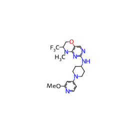 COc1cc(N2CCC(Nc3ncc4c(n3)N(C)C(C(F)(F)F)CO4)CC2)ccn1